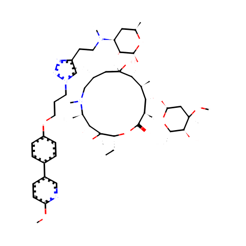 CC[C@H]1OC(=O)[C@H](C)[C@@H](O[C@H]2C[C@@](C)(OC)[C@@H](O)[C@H](C)O2)[C@H](C)[C@@H](O[C@@H]2O[C@H](C)C[C@H](N(C)CCc3cn(CCCOc4ccc(-c5ccc(OC)nc5)cc4)nn3)[C@H]2O)[C@](C)(O)C[C@@H](C)CN(C)[C@H](C)[C@@H](O)[C@]1(C)O